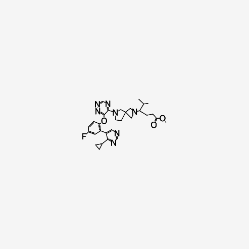 COC(=O)CCC(C(C)C)N1CC2(CCN(c3ncnnc3Oc3ccc(F)cc3-c3cncnc3C3CC3)C2)C1